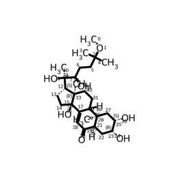 COC(C)(C)CCC(O)[C@](C)(O)[C@H]1CC[C@@]2(O)C3=CC(=O)[C@@H]4C[C@@H](O)[C@@H](O)C[C@]4(C)[C@H]3CC[C@]12C